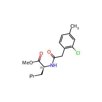 COC(=O)[C@H](CC(C)C)NC(=O)Cc1ccc(C)cc1Cl